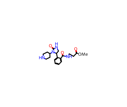 COC(=O)CCNC(=O)c1ccccc1C1CNC(=O)N1C1CCNCC1